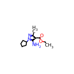 CCOC(=O)c1c(C)nn(C2CCCC2)c1N